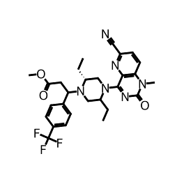 CCC1CN(C(CC(=O)OC)c2ccc(C(F)(F)F)cc2)[C@H](CC)CN1c1nc(=O)n(C)c2ccc(C#N)nc12